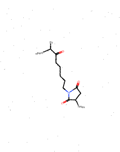 CCCCCCC1CC(=O)N(CCCCCC(=O)C(CC)CCCCC)C1=O